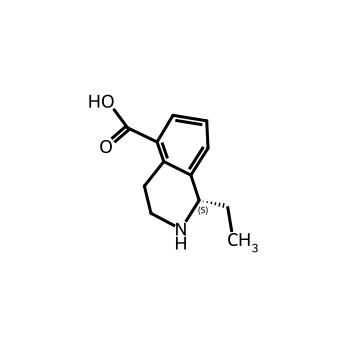 CC[C@@H]1NCCc2c(C(=O)O)cccc21